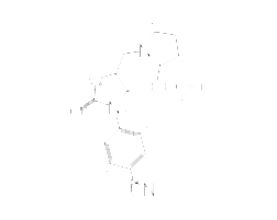 CCOC(=O)C1CCCN1CC1CN(c2ccc(C#N)cc2)C(=O)O1